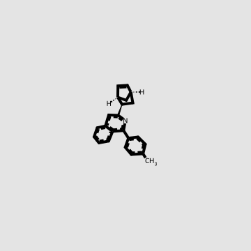 Cc1ccc(-c2nc([C@@H]3C[C@@H]4C=C[C@H]3C4)cc3ccccc23)cc1